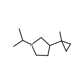 CC(C)N1CCC(C2(C)CC2)C1